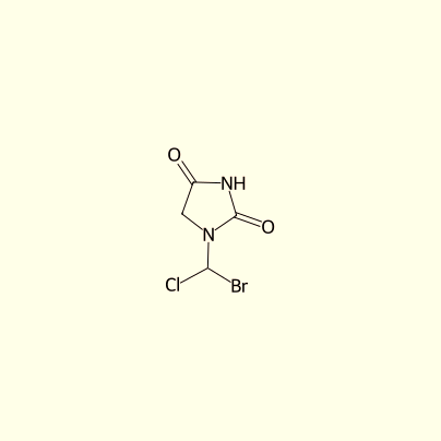 O=C1CN(C(Cl)Br)C(=O)N1